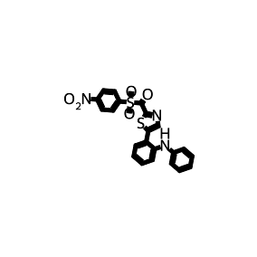 O=C(c1ncc(-c2ccccc2Nc2ccccc2)s1)S(=O)(=O)c1ccc([N+](=O)[O-])cc1